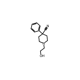 N#CC1(c2ccccc2)CCN(CCO)CC1